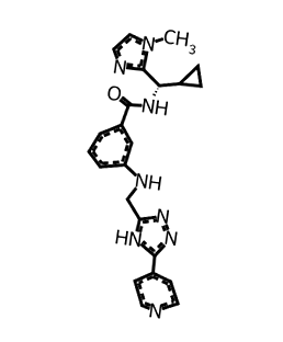 Cn1ccnc1[C@@H](NC(=O)c1cccc(NCc2nnc(-c3ccncc3)[nH]2)c1)C1CC1